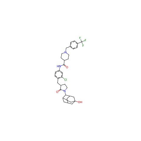 O=C(Nc1ccc(CC2CCN(C3C4CC5CC3CC(O)(C5)C4)C2=O)c(Cl)c1)C1CCN(Cc2ccc(C(F)(F)F)cc2)CC1